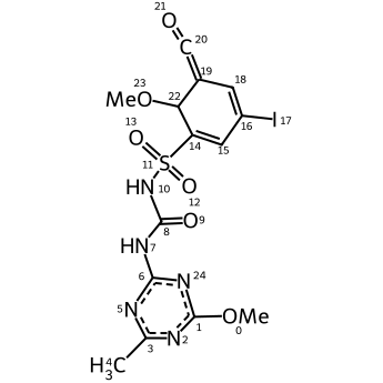 COc1nc(C)nc(NC(=O)NS(=O)(=O)C2=CC(I)=CC(=C=O)C2OC)n1